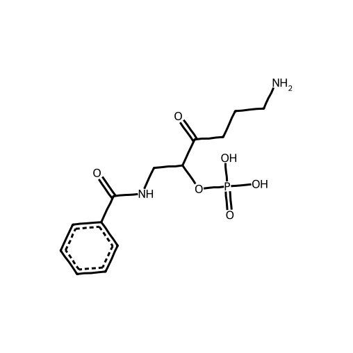 NCCCC(=O)C(CNC(=O)c1ccccc1)OP(=O)(O)O